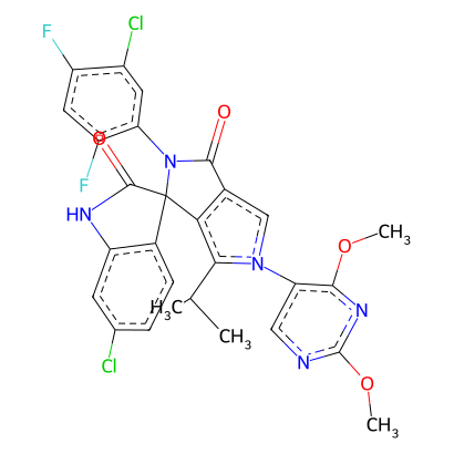 COc1ncc(-n2cc3c(c2C(C)C)C2(C(=O)Nc4cc(Cl)ccc42)N(c2cc(Cl)c(F)cc2F)C3=O)c(OC)n1